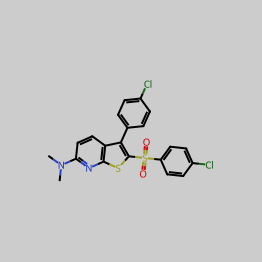 CN(C)c1ccc2c(-c3ccc(Cl)cc3)c(S(=O)(=O)c3ccc(Cl)cc3)sc2n1